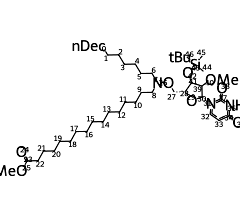 CCCCCCCCCCCCCCCCN(CCCCCCCCCCCCCCCC(=O)OC)OC[C@H]1O[C@@H](n2ccc(=O)[nH]c2=O)C(OC)C1O[Si](C)(C)C(C)(C)C